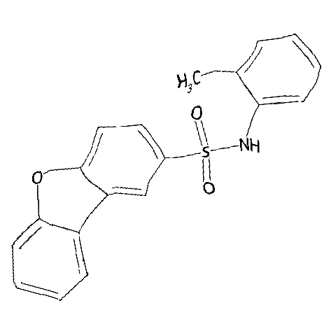 Cc1ccccc1NS(=O)(=O)c1ccc2oc3ccccc3c2c1